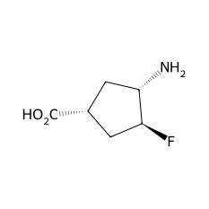 N[C@H]1C[C@@H](C(=O)O)C[C@@H]1F